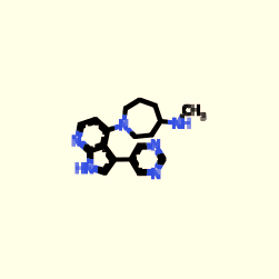 CNC1CCCN(c2ccnc3[nH]cc(-c4cncnc4)c23)CC1